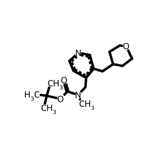 CN(Cc1ccncc1CC1CCOCC1)C(=O)OC(C)(C)C